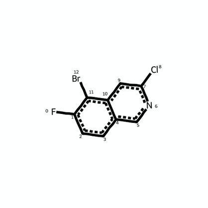 Fc1ccc2cnc(Cl)cc2c1Br